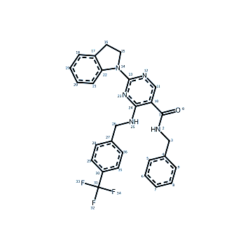 O=C(NCc1ccccc1)c1cnc(N2CCc3ccccc32)nc1NCc1ccc(C(F)(F)F)cc1